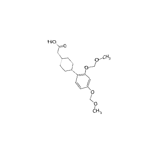 COCOc1ccc(C2CCC(CC(=O)O)CC2)c(OCOC)c1